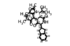 Cc1nc(C(C(=O)N(C)C)N2C(=O)C(C3Cc4ccccc4C3)NC(=O)[C@H]2CC(C)C)c(C)o1